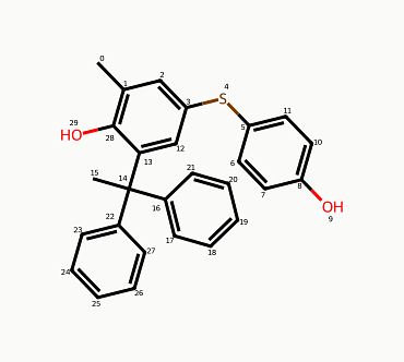 Cc1cc(Sc2ccc(O)cc2)cc(C(C)(c2ccccc2)c2ccccc2)c1O